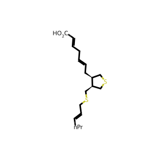 CCCC=CCSC[C@@H]1CSC[C@@H]1CC=CCC=CC(=O)O